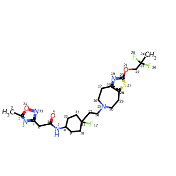 Cc1nc(CC(=O)NC2CCC(F)(CCN3CCc4nc(OCC(C)(F)F)sc4CC3)CC2)no1